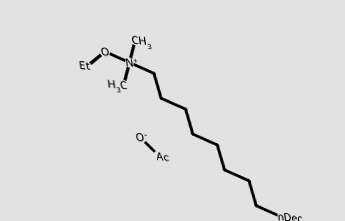 CC(=O)[O-].CCCCCCCCCCCCCCCCCC[N+](C)(C)OCC